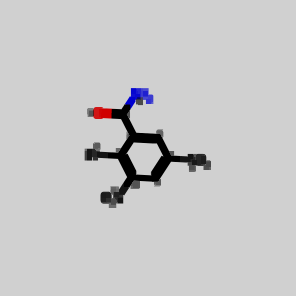 CC(C)c1c(C(N)=O)cc([N+](=O)[O-])cc1[N+](=O)[O-]